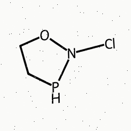 ClN1OCCP1